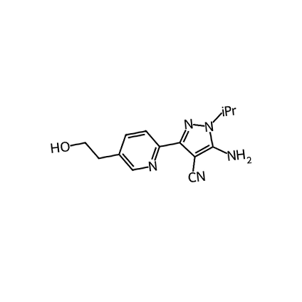 CC(C)n1nc(-c2ccc(CCO)cn2)c(C#N)c1N